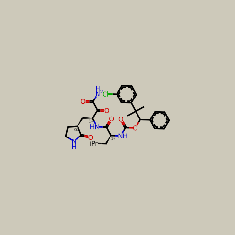 CC(C)C[C@H](NC(=O)OC(c1ccccc1)C(C)(C)c1cccc(Cl)c1)C(=O)N[C@@H](C[C@@H]1CCNC1=O)C(=O)C(N)=O